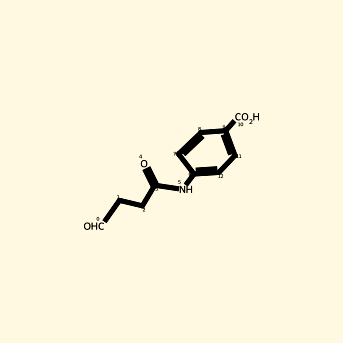 O=CCCC(=O)Nc1ccc(C(=O)O)cc1